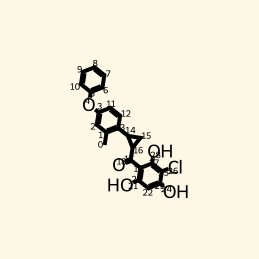 Cc1cc(Oc2ccccc2)ccc1C1CC1C(=O)c1c(O)cc(O)c(Cl)c1O